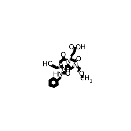 C#CCN1CC(=O)N2[C@@H](CCC(=O)O)C(=O)N(CCOC)C[C@@H]2N1C(=O)NCc1ccccc1